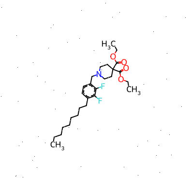 CCCCCCCCCc1ccc(CN2CCC(C(=O)OCC)(C(=O)OCC)CC2)c(F)c1F